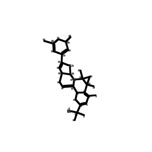 CCC(C)(C)C1=CC(C)=C2C(C1)C1=CCC3C=C(C4=CC(C)CC(C)=C4)SC3N1C1(C)CC21C